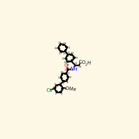 COc1ccc(Cl)cc1-c1ccc(C(=O)NC(CC(=O)O)c2ccc(-c3ccccc3)cc2)cc1